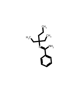 CCCC(CC)(CC)N=C(N)c1ccccc1